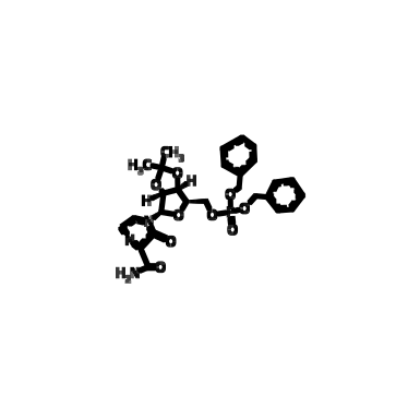 CC1(C)O[C@@H]2[C@H](O1)[C@@H](COP(=O)(OCc1ccccc1)OCc1ccccc1)O[C@H]2n1ccnc(C(N)=O)c1=O